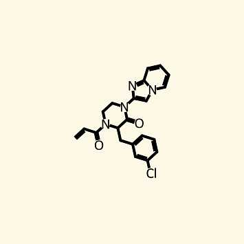 C=CC(=O)N1CCN(c2cn3ccccc3n2)C(=O)C1Cc1cccc(Cl)c1